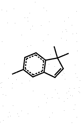 Cc1ccc2c(c1)C=CC2(C)C